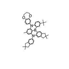 Cc1cc2c3c(c1)N(c1ccc4c(c1)CC(C)(C)C4)c1cc4c(cc1B3c1cc(C(C)(C)C)ccc1N2c1ccc2c(c1)OCCCO2)CC(C)(C)C4